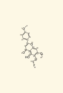 COc1ccc(-c2cc(=O)c3c(O)c(OSF)c(OC)cc3o2)cc1